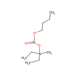 CCCCOC(=O)O[Si](C)(CC)CC